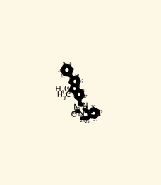 CC1(C)c2cc(-c3ccccc3)ccc2-c2ccc(-c3nc(=O)n4ccc5ccccc5c4n3)cc21